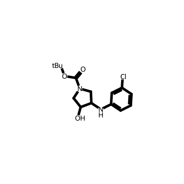 CC(C)(C)OC(=O)N1CC(O)C(Nc2cccc(Cl)c2)C1